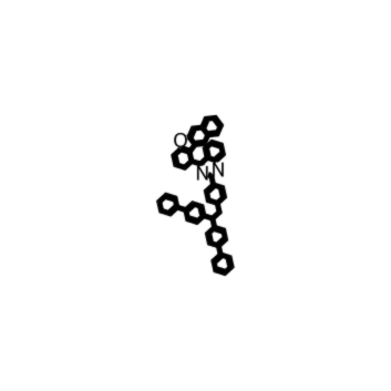 C1=CC(c2ccc(C(CC3C=CC(c4nc(C5CC=Cc6oc7cc8ccccc8cc7c65)c5ccccc5n4)=CC3)c3ccc(-c4ccccc4)cc3)cc2)=CCC1